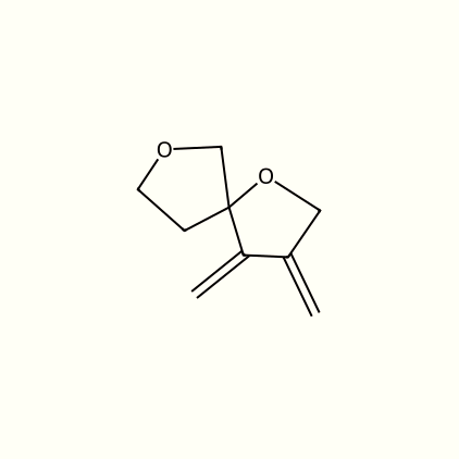 C=C1COC2(CCOC2)C1=C